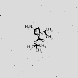 CC(C)[C@H]1C[C@@H](N)CN1C(=O)OC(C)(C)C